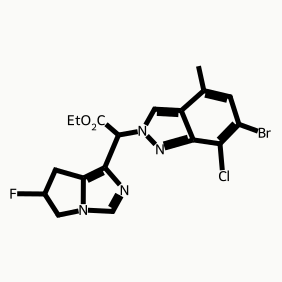 CCOC(=O)C(c1ncn2c1CC(F)C2)n1cc2c(C)cc(Br)c(Cl)c2n1